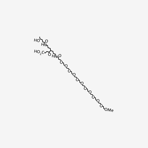 COCCOCCOCCOCCOCCOCCOCCOCCOCCOCCOCCOCCC(=O)NCCCC(CCCNC(=O)CCC(C)O)C(=O)CCC(=O)O